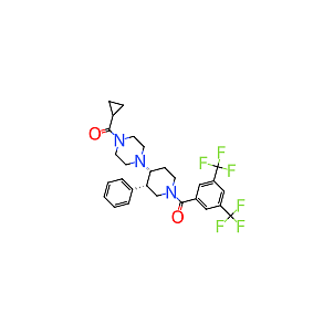 O=C(c1cc(C(F)(F)F)cc(C(F)(F)F)c1)N1CC[C@@H](N2CCN(C(=O)C3CC3)CC2)[C@@H](c2ccccc2)C1